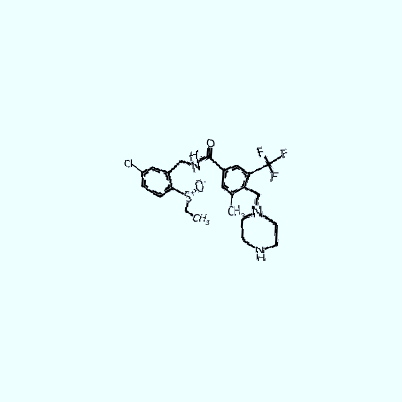 CC[S+]([O-])c1ccc(Cl)cc1CNC(=O)c1cc(C)c(CN2CCNCC2)c(C(F)(F)F)c1